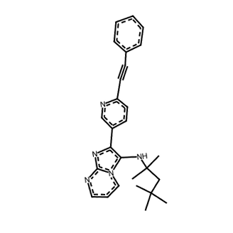 CC(C)(C)CC(C)(C)Nc1c(-c2ccc(C#Cc3ccccc3)nc2)nc2ncccn12